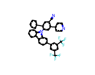 N#Cc1cc(-c2ccccc2)c(-n2c3ccccc3c3ccc(-c4cc(C(F)(F)F)cc(C(F)(F)F)c4)cc32)cc1-c1ccncc1